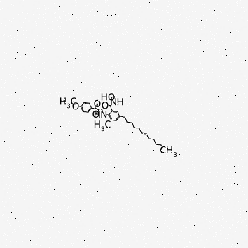 CCCCCCCCCCCCc1cc(C)c(NCS(=O)(=O)c2ccc(OC)cc2)c(C(=O)NO)c1